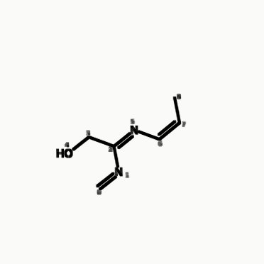 C=N/C(CO)=N\C=C/C